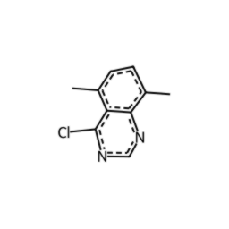 Cc1ccc(C)c2c(Cl)ncnc12